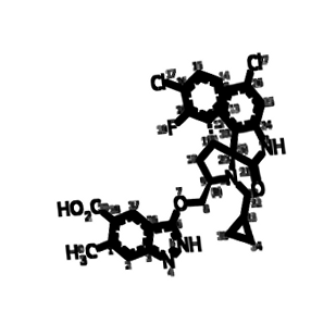 Cc1cc2n[nH]c(OC[C@H]3C[C@H](c4cccc(Cl)c4F)[C@]4(C(=O)Nc5cc(Cl)ccc54)N3CC3CC3)c2cc1C(=O)O